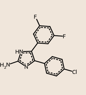 Nc1nc(-c2ccc(Cl)cc2)c(-c2cc(F)cc(F)c2)[nH]1